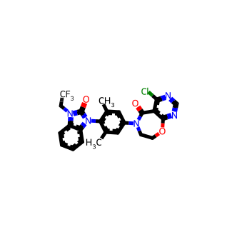 Cc1cc(N2CCOc3ncnc(Cl)c3C2=O)cc(C)c1-n1c(=O)n(CC(F)(F)F)c2ccccc21